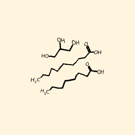 CCCCCCCC(=O)O.CCCCCCCCCC(=O)O.OCC(O)CO